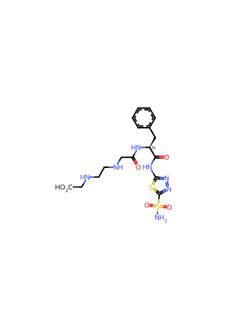 NS(=O)(=O)c1nnc(NC(=O)[C@H](Cc2ccccc2)NC(=O)CNCCNCC(=O)O)s1